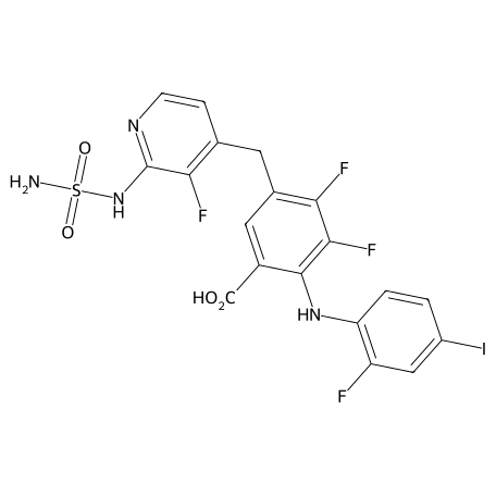 NS(=O)(=O)Nc1nccc(Cc2cc(C(=O)O)c(Nc3ccc(I)cc3F)c(F)c2F)c1F